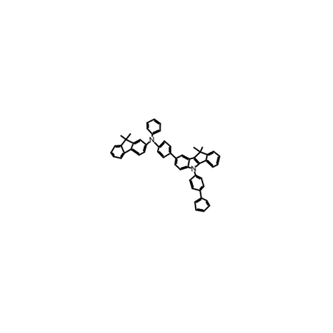 CC1(C)c2ccccc2-c2ccc(N(c3ccccc3)c3ccc(-c4ccc5c(c4)c4c(n5-c5ccc(-c6ccccc6)cc5)-c5ccccc5C4(C)C)cc3)cc21